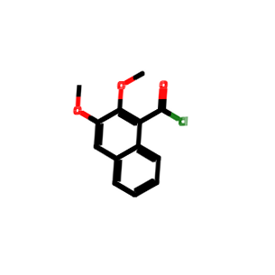 COc1cc2ccccc2c(C(=O)Cl)c1OC